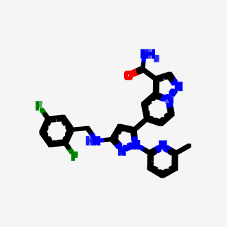 Cc1cccc(-n2nc(NCc3cc(F)ccc3F)cc2-c2ccn3ncc(C(N)=O)c3c2)n1